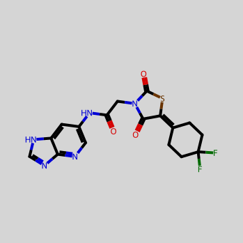 O=C(CN1C(=O)SC(=C2CCC(F)(F)CC2)C1=O)Nc1cnc2nc[nH]c2c1